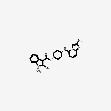 Cc1c(C(=O)N[C@H]2CC[C@@H](Nc3cccc4nc(C(F)(F)F)cn34)CC2)c2ccccc2n1C